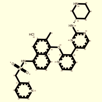 Cc1ccc2c(NS(=O)(=O)Cc3cccnc3)cccc2c1Oc1ncccc1-c1ccnc(N[C@H]2CCCNC2)n1.Cl